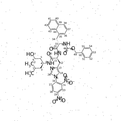 CC(C)C[C@@H](CCO)NC(=O)[C@H](Cc1cn(-c2ccc([N+](=O)[O-])cc2[N+](=O)[O-])cn1)NC(=O)[C@H](Cc1cccc2ccccc12)NC(=O)OCc1ccccc1